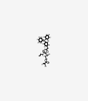 C=CC/N=C(/O/C(C=O)=C/c1ccc(N(c2ccccc2)c2ccccc2)cc1)N(C)CCOC(=O)C(=C)C